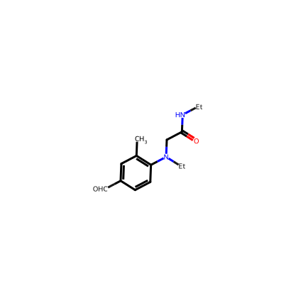 CCNC(=O)CN(CC)c1ccc(C=O)cc1C